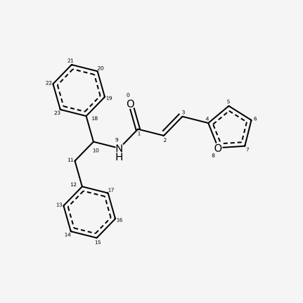 O=C(/C=C/c1ccco1)NC(Cc1ccccc1)c1ccccc1